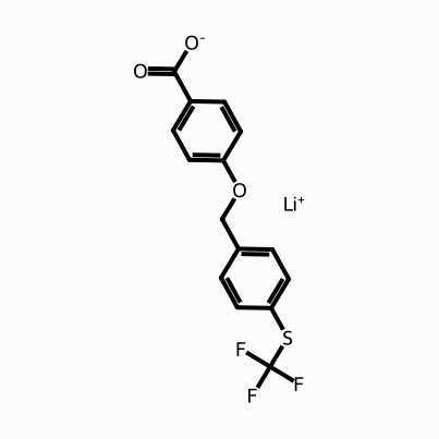 O=C([O-])c1ccc(OCc2ccc(SC(F)(F)F)cc2)cc1.[Li+]